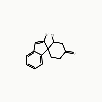 O=C1CCC2(C(Br)=Cc3ccccc32)C(Cl)C1